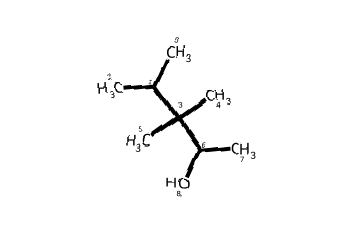 CC(C)C(C)(C)C(C)O